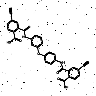 C#Cc1ccc(C(=O)O)c(C(=O)Nc2ccc(Oc3cccc(NC(=O)c4cc(C#C)ccc4C(=O)O)c3)cc2)c1